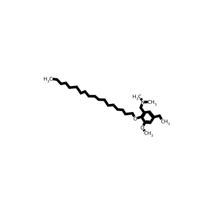 CCCCCCCCCCCCCCCCCCOc1c(CN(C)C)cc(CC)cc1OC